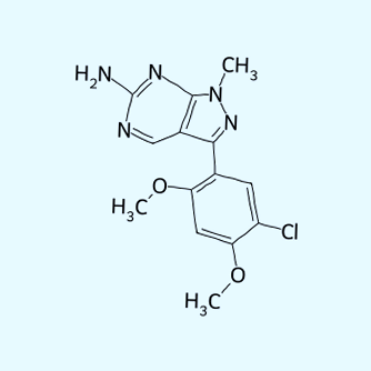 COc1cc(OC)c(-c2nn(C)c3nc(N)ncc23)cc1Cl